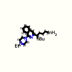 CCCCC(CC[CH2][InH2])c1cc2ccccc2c(N2CCN(CC)CC2)n1